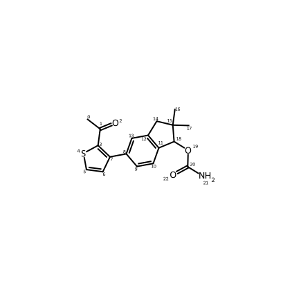 CC(=O)c1sccc1-c1ccc2c(c1)CC(C)(C)C2OC(N)=O